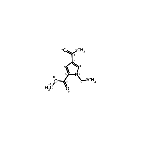 CCn1cc(C(C)=O)cc1C(=O)OC